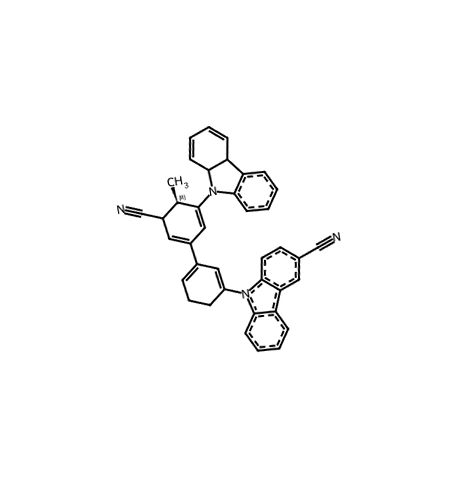 C[C@H]1C(N2c3ccccc3C3C=CC=CC32)=CC(C2=CCCC(n3c4ccccc4c4cc(C#N)ccc43)=C2)=CC1C#N